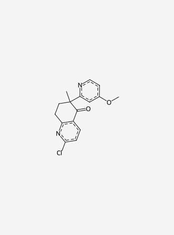 COc1ccnc(C2(C)CCc3nc(Cl)ccc3C2=O)c1